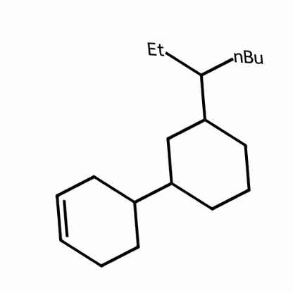 CCCCC(CC)C1CCCC(C2CC=CCC2)C1